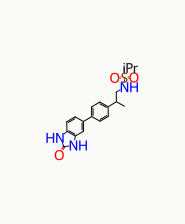 CC(CNS(=O)(=O)C(C)C)c1ccc(-c2ccc3[nH]c(=O)[nH]c3c2)cc1